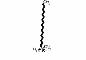 CCCCCCCCCCCCCCCC/C=C/[N+](C)(C)[O-]